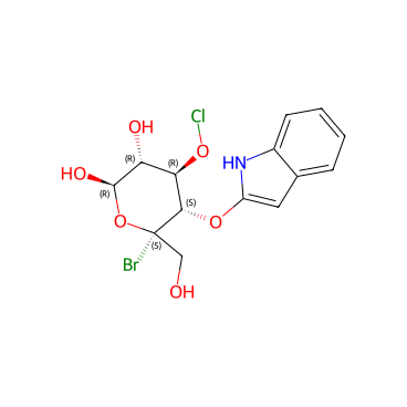 OC[C@@]1(Br)O[C@@H](O)[C@H](O)[C@@H](OCl)[C@@H]1Oc1cc2ccccc2[nH]1